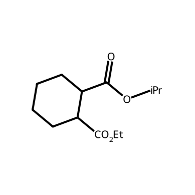 CCOC(=O)C1CCCCC1C(=O)OC(C)C